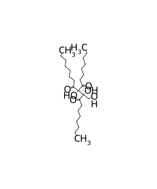 CCCCCCCC(=O)C(O)(CO)C(O)(C(=O)CCCCCCC)C(=O)CCCCCCC